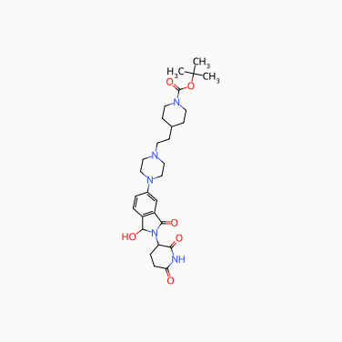 CC(C)(C)OC(=O)N1CCC(CCN2CCN(c3ccc4c(c3)C(=O)N(C3CCC(=O)NC3=O)C4O)CC2)CC1